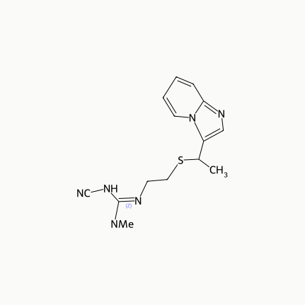 CN/C(=N/CCSC(C)c1cnc2ccccn12)NC#N